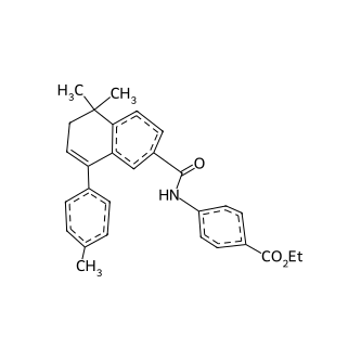 CCOC(=O)c1ccc(NC(=O)c2ccc3c(c2)C(c2ccc(C)cc2)=CCC3(C)C)cc1